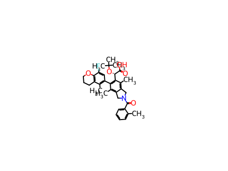 Cc1ccccc1C(=O)N1Cc2c(C)c(-c3cc(F)c4c(c3C)CCCO4)c([C@H](OC(C)(C)C)C(=O)O)c(C)c2C1